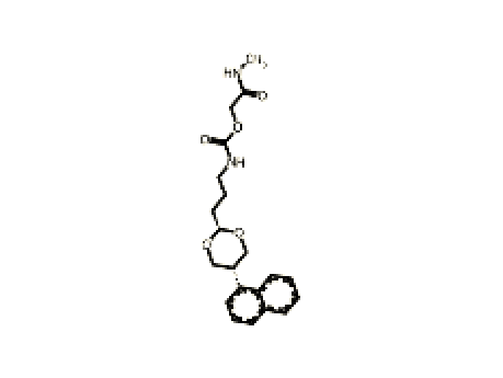 CNC(=O)COC(=O)NCCC[C@H]1OC[C@H](c2cccc3ccccc32)CO1